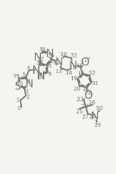 CCCc1nc(Cn2ncc3c(N4CCN(C(=O)c5ccc(OCC(C)(C)CN(C)C)cc5)CC4)ncnc32)cs1